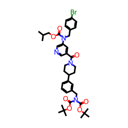 CC(C)COC(=O)N(Cc1ccc(Br)cc1)c1cncc(C(=O)N2CCC(c3cccc(CN(C(=O)OC(C)(C)C)C(=O)OC(C)(C)C)c3)CC2)c1